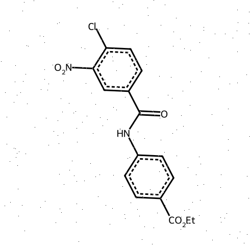 CCOC(=O)c1ccc(NC(=O)c2ccc(Cl)c([N+](=O)[O-])c2)cc1